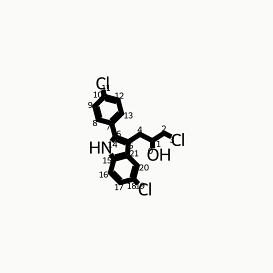 OC(CCl)Cc1c(-c2ccc(Cl)cc2)[nH]c2ccc(Cl)cc12